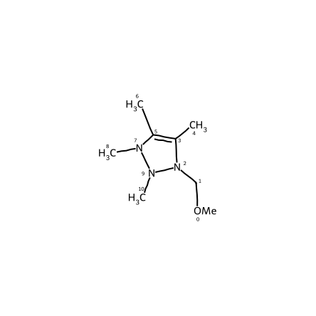 COCN1C(C)=C(C)N(C)N1C